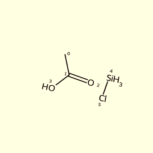 CC(=O)O.[SiH3]Cl